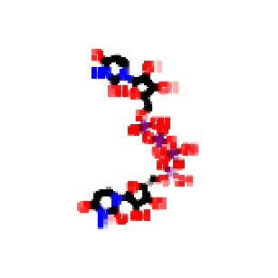 O=C1C=CN([C@@H]2O[C@H](COP(=O)(O)OP(=O)(O)OP(=O)(O)OP(=O)(O)OC[C@H]3O[C@@H](N4C=CC(=O)NC4O)C(O)C3O)C(O)C2O)C(O)N1